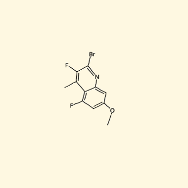 COc1cc(F)c2c(C)c(F)c(Br)nc2c1